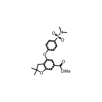 COC(=O)c1cc(Oc2ccc(S(=O)(=O)N(C)C)cc2)c2c(c1)OC(C)(C)C2